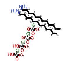 CCCCCCCCCCCC[NH3+].CCCCCCCCCCCC[NH3+].[O]=[Mn](=[O])([O-])[Cl].[O]=[Mn](=[O])([O-])[Cl].[O]=[Mn](=[O])([OH])[Cl].[O]=[Mn](=[O])([OH])[Cl]